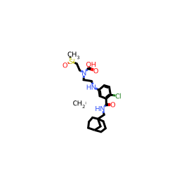 C[S+]([O-])CCN(CCNc1ccc(Cl)c(C(=O)NCC23CCCC(CCC2)C3)c1)C(=O)O.[CH2]